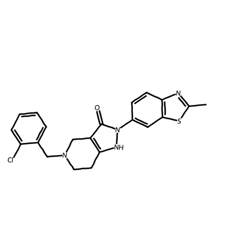 Cc1nc2ccc(-n3[nH]c4c(c3=O)CN(Cc3ccccc3Cl)CC4)cc2s1